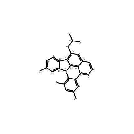 Cc1cc(C)c2c(c1)c1nccc3cc(CC(C)C)c4c5ccc(C)cc5n2c4c31